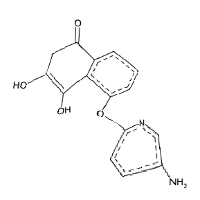 Nc1ccc(Oc2cccc3c2C(O)=C(O)CC3=O)nc1